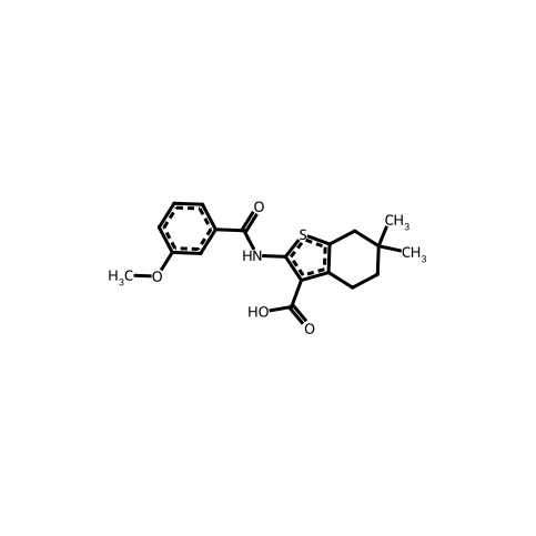 COc1cccc(C(=O)Nc2sc3c(c2C(=O)O)CCC(C)(C)C3)c1